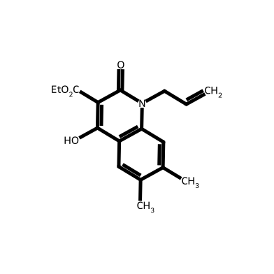 C=CCn1c(=O)c(C(=O)OCC)c(O)c2cc(C)c(C)cc21